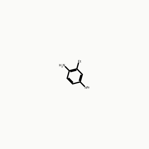 CCCc1ccc(N)c(CC)c1